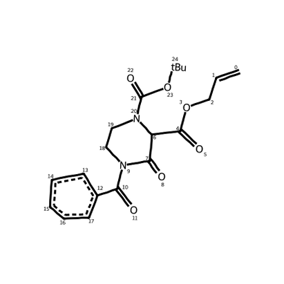 C=CCOC(=O)C1C(=O)N(C(=O)c2ccccc2)CCN1C(=O)OC(C)(C)C